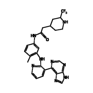 Cc1ccc(NC(=O)CC2CCNC(C(F)(F)F)C2)cc1Nc1ncccc1-c1ncnc2[nH]cnc12